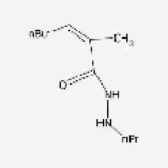 CCCCC=C(C)C(=O)NNCCC